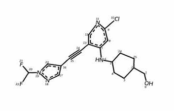 OCC1CCC(Nc2cc(Cl)ncc2C#Cc2cnn(C(F)F)c2)CC1